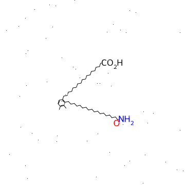 Cc1ccc(CCCCCCCCCCCCCCCCCC(=O)O)c(CCCCCCCCCCCCCCCCCC(N)=O)c1C